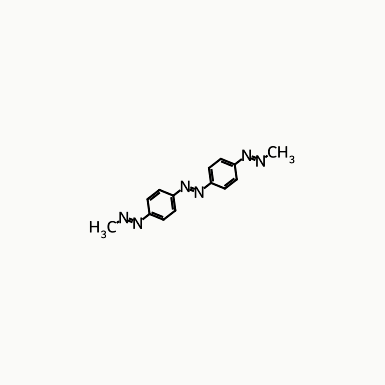 CN=Nc1ccc(N=Nc2ccc(N=NC)cc2)cc1